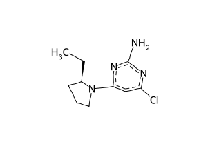 CC[C@@H]1CCCN1c1cc(Cl)nc(N)n1